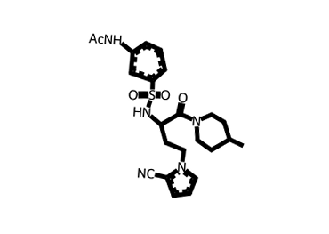 CC(=O)Nc1cccc(S(=O)(=O)NC(CCn2cccc2C#N)C(=O)N2CCC(C)CC2)c1